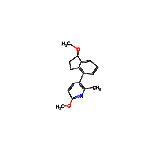 COc1ccc(-c2cccc3c2CC[C@H]3OC)c(C)n1